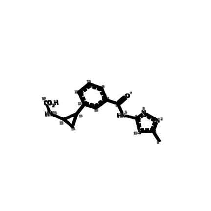 Cc1nnc(NC(=O)c2cccc(C3CC3NC(=O)O)c2)s1